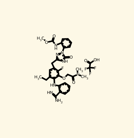 CCc1cc(Cc2nn(-c3ccccc3NC(=O)OC)c(=O)[nH]2)c(F)c(OCC(=O)N(C)C)c1Nc1ccccc1C(=N)N.O=C(O)C(F)(F)F